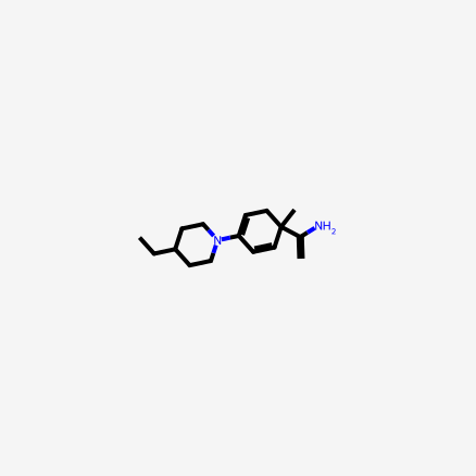 C=C(N)C1(C)C=CC(N2CCC(CC)CC2)=CC1